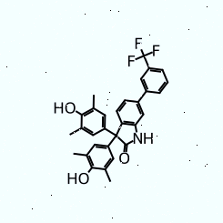 Cc1cc(C2(c3cc(C)c(O)c(C)c3)C(=O)Nc3cc(-c4cccc(C(F)(F)F)c4)ccc32)cc(C)c1O